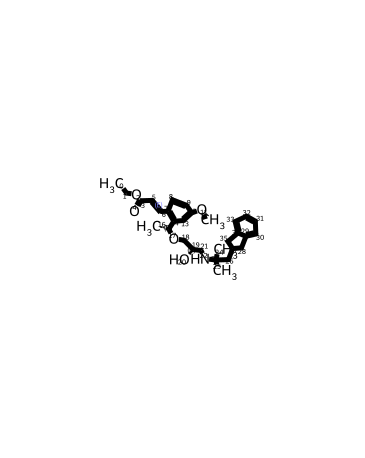 CCOC(=O)/C=C/c1ccc(OC)cc1[C@@H](C)OC[C@H](O)CNC(C)(C)CC1Cc2ccccc2C1